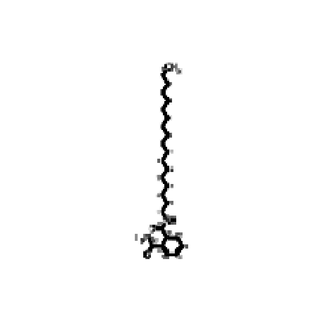 CCCCCCCCCCCCCCCCCCNC(=O)c1ccccc1C(N)=O